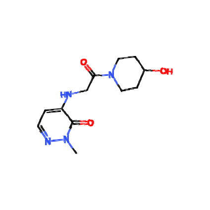 Cn1nccc(NCC(=O)N2CCC(O)CC2)c1=O